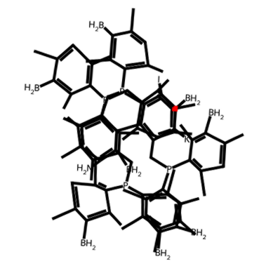 Bc1c(C)cc(C)c(P(Cc2c(C)c(C)c(N)c(CP(c3c(C)cc(C)c(B)c3C)c3c(C)cc(C)c(B)c3C)c2-c2c(CP(c3c(C)cc(C)c(B)c3C)c3c(C)cc(C)c(B)c3C)[c]([K])c(C)c(I)c2CP(c2c(C)cc(C)c(B)c2C)c2c(C)cc(C)c(B)c2C)c2c(C)cc(C)c(B)c2C)c1C